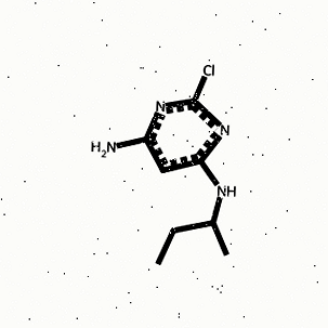 CCC(C)Nc1cc(N)nc(Cl)n1